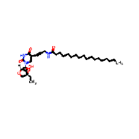 CCCCCCCCCCCCCCCCCC(=O)NCC#Cc1cn([C@@H]2O[C@]3(CC)CO[C@@H]2C3O)c(=O)[nH]c1=O